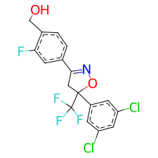 OCc1ccc(C2=NOC(c3cc(Cl)cc(Cl)c3)(C(F)(F)F)C2)cc1F